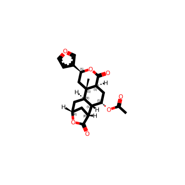 CC(=O)O[C@H]1C[C@@H]2C(=O)O[C@H](c3ccoc3)C[C@@]2(C)[C@@H]2C[C@@H]3C[C@@H](C(=O)O3)[C@@H]12